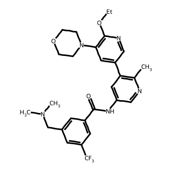 CCOc1ncc(-c2cc(NC(=O)c3cc(CN(C)C)cc(C(F)(F)F)c3)cnc2C)cc1N1CCOCC1